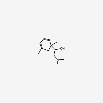 CC1=CC=CC(C)(C(O)CN(C)C)C1